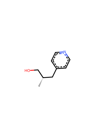 C[C@H](CO)Cc1ccncc1